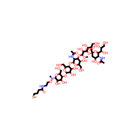 CO[C@@H](OC1C(NC(C)=O)[C@H](O[C@H]2C(CO)O[C@@H](O[C@@H]3C(CO)O[C@@H](N(C)OCCNC(=O)CCCS)C(O)C3O)C(O)C2O)OC(CO)[C@@H]1O)C(O)C(O[C@]1(C(=O)O)CC(O)[C@@H](NC(C)=O)C([C@H](O)[C@H](O)CO)O1)[C@@H](O)CCO